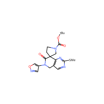 CSc1ncc2c(n1)C1(CCN(C(=O)OC(C)(C)C)C1)C(=O)N(c1cnoc1)C2